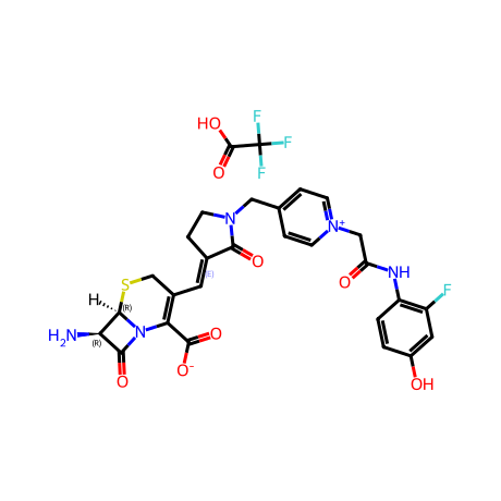 N[C@@H]1C(=O)N2C(C(=O)[O-])=C(/C=C3\CCN(Cc4cc[n+](CC(=O)Nc5ccc(O)cc5F)cc4)C3=O)CS[C@H]12.O=C(O)C(F)(F)F